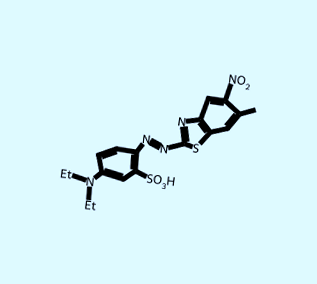 CCN(CC)c1ccc(/N=N/c2nc3cc([N+](=O)[O-])c(C)cc3s2)c(S(=O)(=O)O)c1